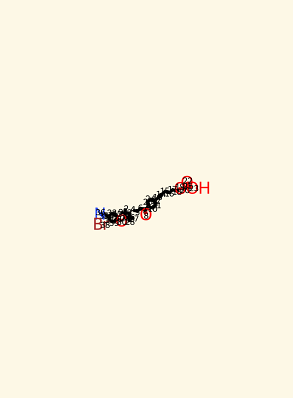 CC1(C)[C@H](CCCC(=O)c2ccc(C#CCCCCOCC(=O)O)cc2)C(C)(C)[C@H]1Oc1ccc(C#N)c(Br)c1